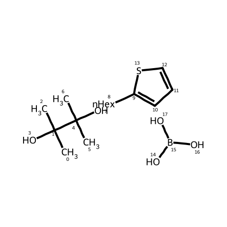 CC(C)(O)C(C)(C)O.CCCCCCc1cccs1.OB(O)O